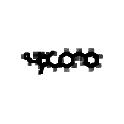 Cc1[nH]c(C=O)c(C)c1CN1CCC(Cc2ccccc2)CC1